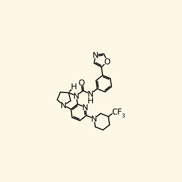 O=C(Nc1cccc(-c2cnco2)c1)N1c2nc(N3CCCC(C(F)(F)F)C3)ccc2N2CC[C@H]1C2